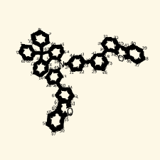 c1ccc(C2(c3ccccc3)c3ccccc3-c3c(N(c4ccc(-c5cccc(-c6cccc7c6oc6ccccc67)c5)cc4)c4cccc(-c5ccc6oc7ccccc7c6c5)c4)cccc32)cc1